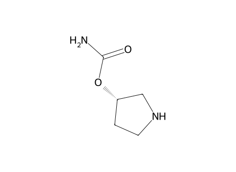 NC(=O)O[C@H]1CCNC1